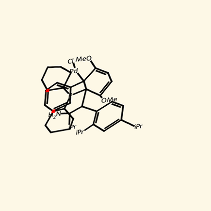 COC1=CC=C(OC)C(C(c2ccc(C(C)C)cc2C(C)C)C(N)C(C)C)(P(C2CCCCC2)C2CCCCC2)[C]1([Pd][Cl])c1ccccc1